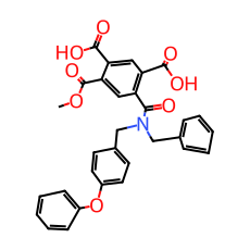 COC(=O)c1cc(C(=O)N(Cc2ccccc2)Cc2ccc(Oc3ccccc3)cc2)c(C(=O)O)cc1C(=O)O